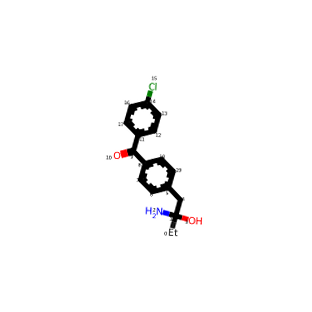 CCC(N)(O)Cc1ccc(C(=O)c2ccc(Cl)cc2)cc1